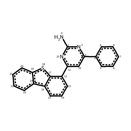 Nc1nc(-c2ccccc2)cc(-c2cccc3c2sc2ccccc23)n1